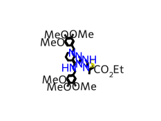 CCOC(=O)c1sc(Nc2nc(NCc3cc(OC)c(OC)c(OC)c3)c3c(n2)N(Cc2cc(OC)c(OC)c(OC)c2)CCC3)nc1C